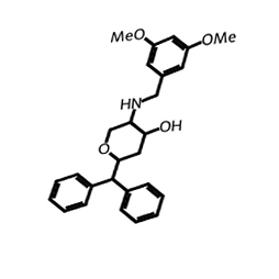 COc1cc(CNC2COC(C(c3ccccc3)c3ccccc3)CC2O)cc(OC)c1